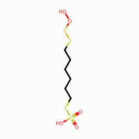 O=S(=O)(O)SCCCCCCSSOO